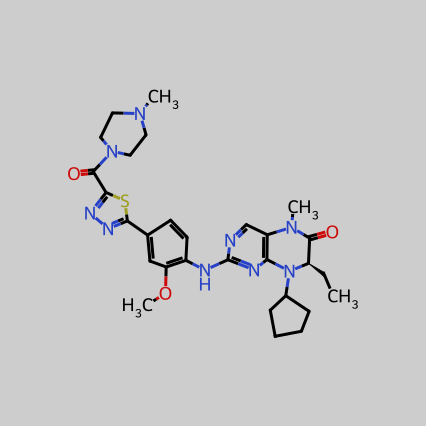 CC[C@@H]1C(=O)N(C)c2cnc(Nc3ccc(-c4nnc(C(=O)N5CCN(C)CC5)s4)cc3OC)nc2N1C1CCCC1